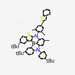 Cc1cc2c3c(c1)N(c1c(C)cc(-c4cc5ccccc5s4)cc1C)c1sc4ccc(C(C)(C)C)cc4c1B3c1cc(C(C)(C)C)ccc1N2c1ccc(C(C)(C)C)cc1